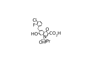 CC(C)C(CO)n1cc(C(=O)O)c(=O)c2cc(Cc3cccc(Cl)c3F)c(O)cc21